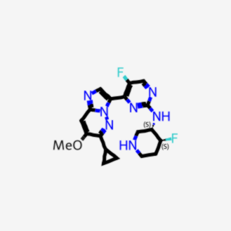 COc1cc2ncc(-c3nc(N[C@H]4CNCC[C@@H]4F)ncc3F)n2nc1C1CC1